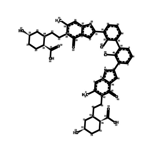 Cc1cn2nc(-c3cccc(-c4cccc(-c5cc6c(=O)n(CCN7C[C@@H](O)CC[C@H]7C(=O)O)c(C)cn6n5)c4Cl)c3Cl)cc2c(=O)n1CCN1C[C@@H](O)CC[C@H]1C(=O)O